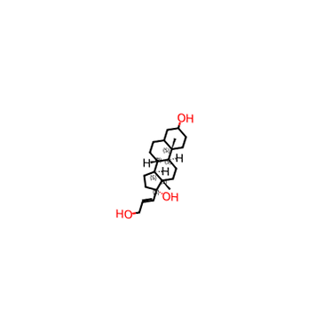 C[C@]12CCC(O)CC1CC[C@@H]1[C@@H]2CC[C@@]2(C)[C@H]1CC[C@]2(O)C=CCO